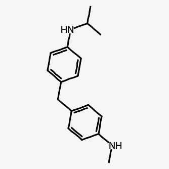 CNc1ccc(Cc2ccc(NC(C)C)cc2)cc1